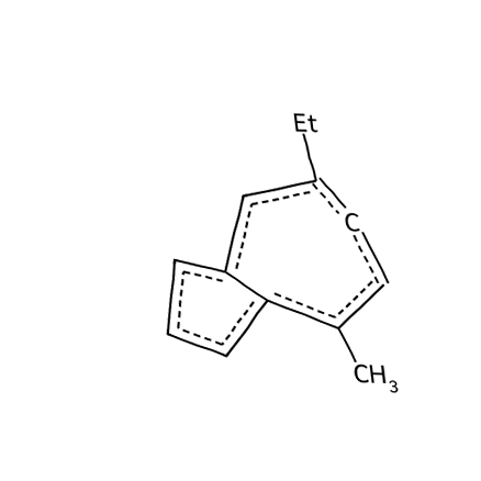 CCc1ccc(C)c2cccc-2c1